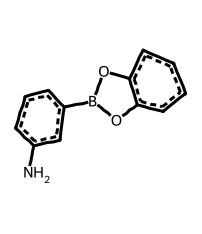 Nc1cccc(B2Oc3ccccc3O2)c1